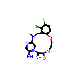 CN1Cc2c(ccc(F)c2Cl)OCCNC(=O)C(=N)n2cc1ncc2=N